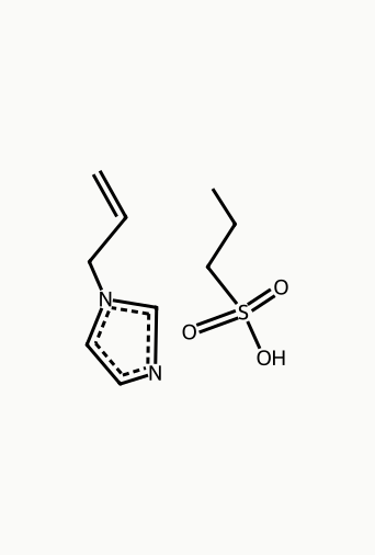 C=CCn1ccnc1.CCCS(=O)(=O)O